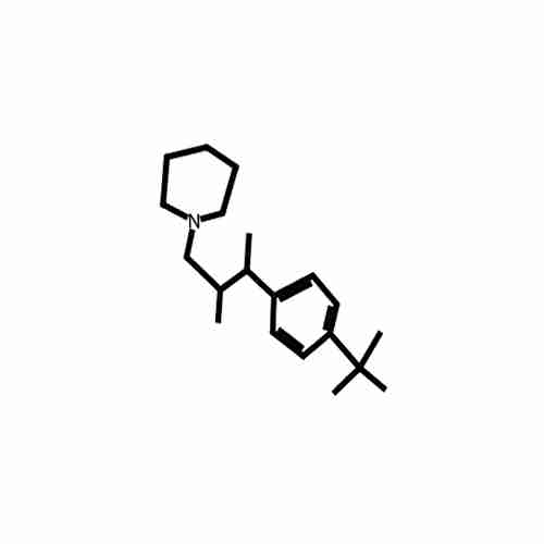 CC(CN1CCCCC1)C(C)c1ccc(C(C)(C)C)cc1